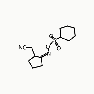 N#CCC1CCC/C1=N/OS(=O)(=O)C1CCCCC1